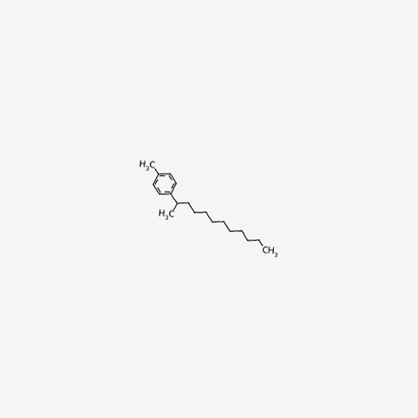 CCCCCCCCCCC(C)c1ccc(C)cc1